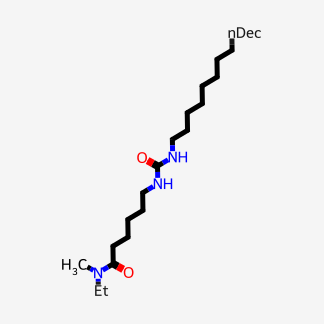 CCCCCCCCCCCCCCCCCCNC(=O)NCCCCCC(=O)N(C)CC